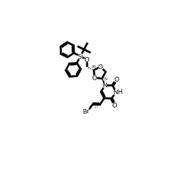 CC(C)(C)[Si](OC[C@@H]1OC[C@@H](n2cc(/C=C/Br)c(=O)[nH]c2=O)O1)(c1ccccc1)c1ccccc1